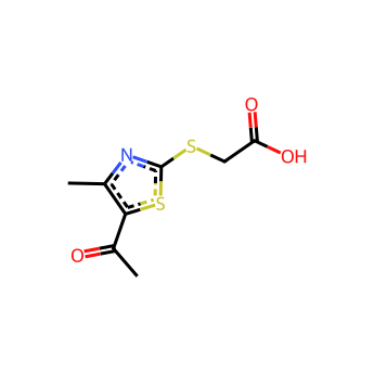 CC(=O)c1sc(SCC(=O)O)nc1C